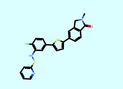 CN1Cc2cc(-c3ccc(-c4ccc(F)c(NSc5ccccn5)c4)s3)ccc2C1=O